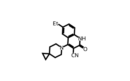 CCc1ccc2[nH]c(=O)c(C#N)c(N3CCC4(CC3)CC4)c2c1